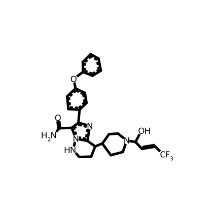 NC(=O)c1c(-c2ccc(Oc3ccccc3)cc2)nc2n1NCCC2C1CCN(C(O)/C=C/C(F)(F)F)CC1